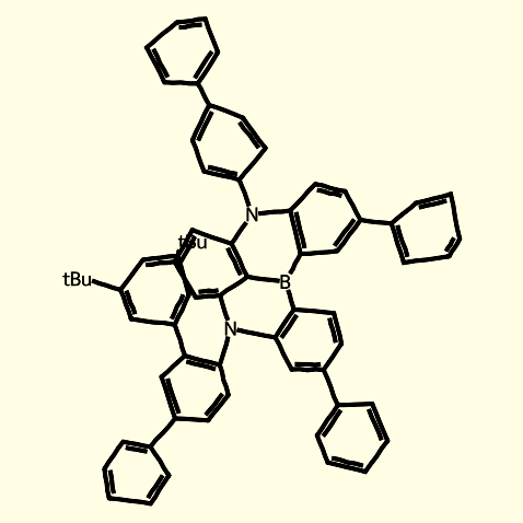 CC(C)(C)c1cc(-c2cc(-c3ccccc3)ccc2N2c3cc(-c4ccccc4)ccc3B3c4cc(-c5ccccc5)ccc4N(c4ccc(-c5ccccc5)cc4)c4cccc2c43)cc(C(C)(C)C)c1